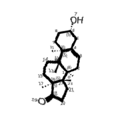 C[C@@]12CC=C3C[C@@H](O)CC[C@]3(C)[C@@]1(C)CC[C@]1(C)C(=O)CC[C@@]21C